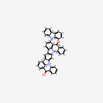 O=c1c2ccccc2n2c3cc4c(cc3c3cccc1c32)c1ccc(-n2c3ccccc3c3ccccc32)c2c(=O)c3ccccc3n4c21